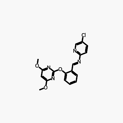 COc1cc(OC)nc(Oc2ccccc2C=Nc2ccc(Cl)cn2)n1